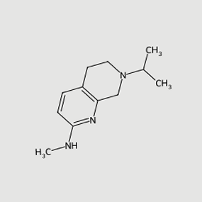 CNc1ccc2c(n1)CN(C(C)C)CC2